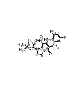 Cc1c(Nc2ccc(I)cc2F)c([N+](=O)[O-])c2n(c1=O)CCN2C(=O)OC(C)(C)C